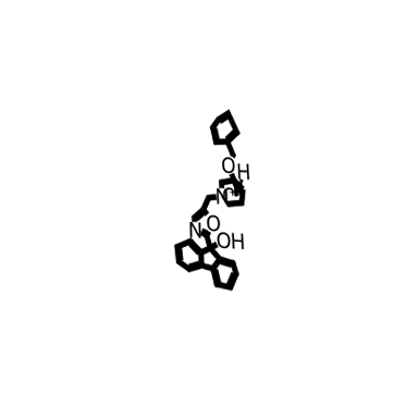 OC1(c2ncc(C[N+]34CCC(CC3)[C@@H](OCc3ccccc3)C4)o2)c2ccccc2-c2ccccc21